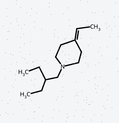 CC=C1CCN(CC(CC)CC)CC1